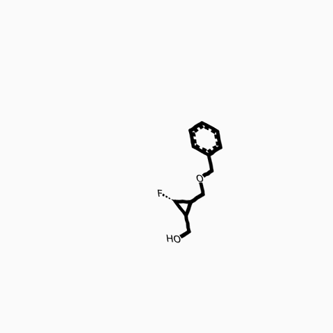 OCC1C(COCc2ccccc2)[C@H]1F